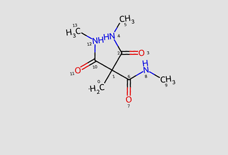 [CH2]C(C(=O)NC)(C(=O)NC)C(=O)NC